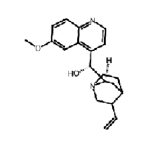 C=CC1CN2CCC1C[C@@H]2[C@H](O)c1ccnc2ccc(OC)cc12